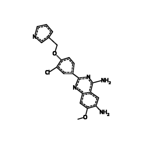 COc1cc2nc(-c3ccc(OCc4cccnc4)c(Cl)c3)nc(N)c2cc1N